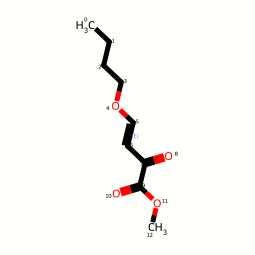 CCCCO/C=C/C(=O)C(=O)OC